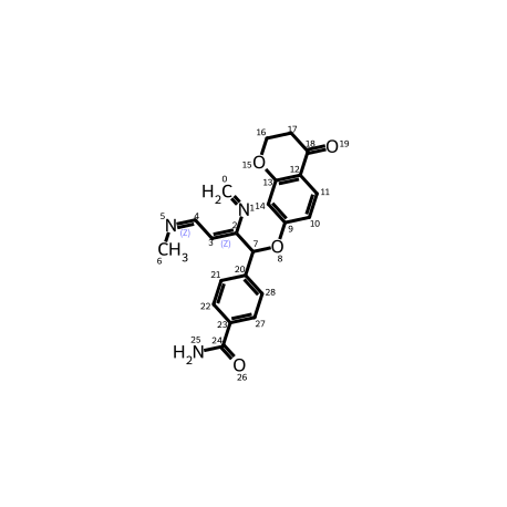 C=N/C(=C\C=N/C)C(Oc1ccc2c(c1)OCCC2=O)c1ccc(C(N)=O)cc1